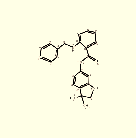 CC1(C)CNc2cc(NC(=O)c3ccccc3NCc3ccncc3)ccc21